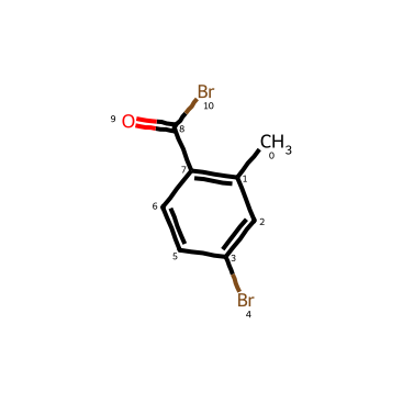 Cc1cc(Br)ccc1C(=O)Br